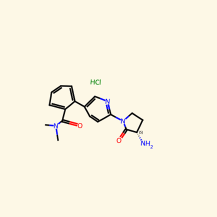 CN(C)C(=O)c1ccccc1-c1ccc(N2CC[C@H](N)C2=O)nc1.Cl